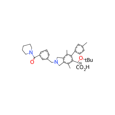 Cc1ccc(-c2c(C)c3c(c(C)c2[C@H](OC(C)(C)C)C(=O)O)CN(Cc2cccc(C(=O)N4CCCCC4)c2)C3)cc1